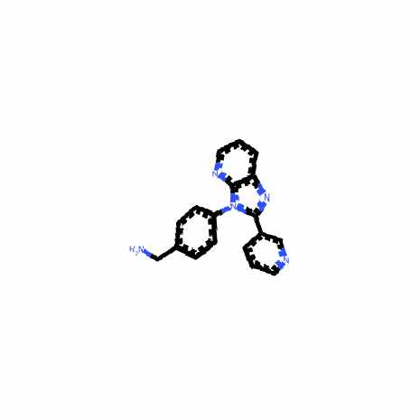 NCc1ccc(-n2c(-c3cccnc3)nc3cccnc32)cc1